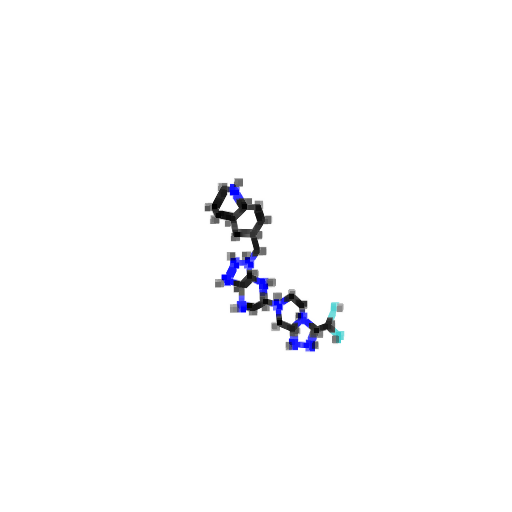 FC(F)c1nnc2n1CCN(c1cnc3nnn(Cc4ccc5ncccc5c4)c3n1)C2